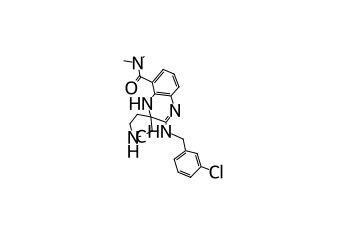 CN(C)C(=O)c1cccc2c1NC1(CCNCC1)C(NCc1cccc(Cl)c1)=N2